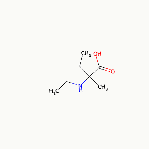 CCNC(C)(CC)C(=O)O